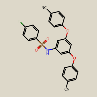 N#Cc1ccc(Oc2cc(NS(=O)(=O)c3ccc(F)cc3)cc(Oc3ccc(C#N)cc3)c2)cc1